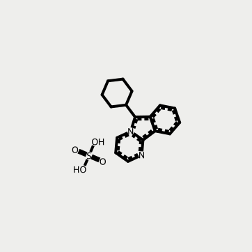 O=S(=O)(O)O.c1ccc2c(c1)c(C1CCCCC1)n1cccnc21